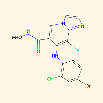 CONC(=O)c1cn2ccnc2c(F)c1Nc1ccc(Br)cc1Cl